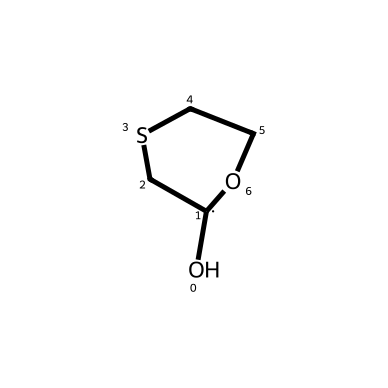 O[C]1CSCCO1